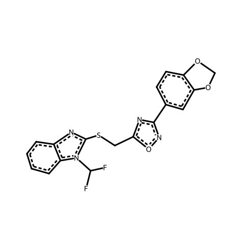 FC(F)n1c(SCc2nc(-c3ccc4c(c3)OCO4)no2)nc2ccccc21